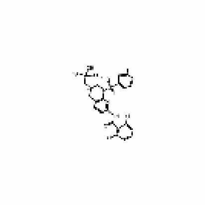 CC(C)(O)C[C@@H]1Cc2ccc(NC(=O)c3c(Cl)cccc3Cl)nc2N(S(=O)(=O)c2cccc(Cl)c2)C1